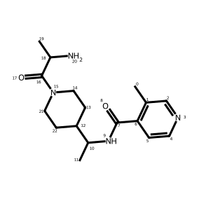 Cc1cnccc1C(=O)NC(C)C1CCN(C(=O)C(C)N)CC1